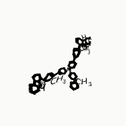 CC1CC(C2=CC=CC3C4C=CC=C[C@@H]4O[C@H]23)=CC=C1C1=CCC(N(C2=CCC(C)(c3ccccc3)CC2)C2C=CC(c3ccc(C4C=CCC5[C@H]6CCCC[C@H]6OC45C)cc3)=CC2)CC1